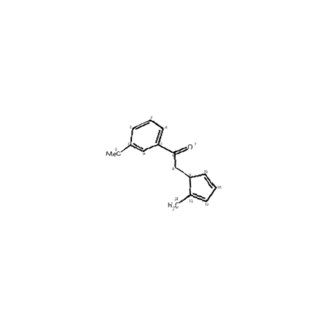 COc1cccc(C(=O)CC2C=CC=C2C)c1